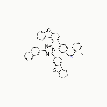 Cc1ccccc1/C=C\c1ccc(-c2ccc3oc4ccccc4c3c2-c2nc(-c3ccc4ccccc4c3)nc(-c3ccc4c(c3)sc3ccccc34)n2)cc1